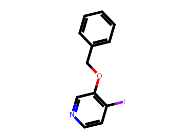 Ic1ccncc1OCc1ccccc1